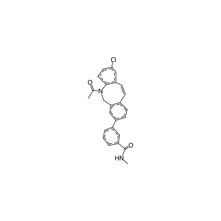 CNC(=O)c1cccc(-c2ccc3c(c2)CN(C(C)=O)c2ccc(Cl)cc2/C=C\3)c1